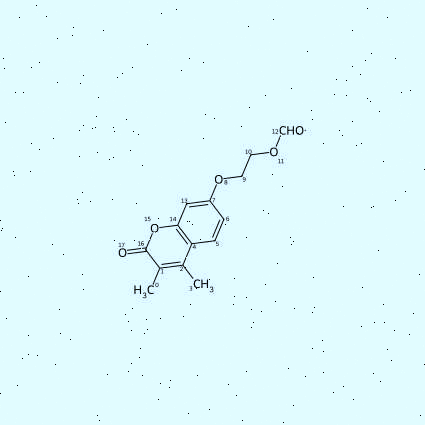 Cc1c(C)c2ccc(OCCO[C]=O)cc2oc1=O